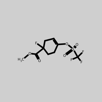 COC(=O)C1(F)CC=C(OS(=O)(=O)C(F)(F)F)CC1